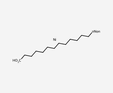 CCCCCCCCCCCCCCCCCCCCCC(=O)O.[Ni]